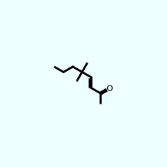 CCCC(C)(C)/C=C/C(C)=O